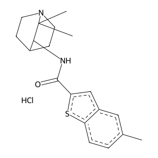 Cc1ccc2sc(C(=O)NC3C4CCN(CC4)C3(C)C)cc2c1.Cl